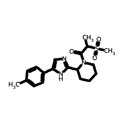 Cc1ccc(-c2cnc(C3CCCCN3C(=O)C(C)S(C)(=O)=O)[nH]2)cc1